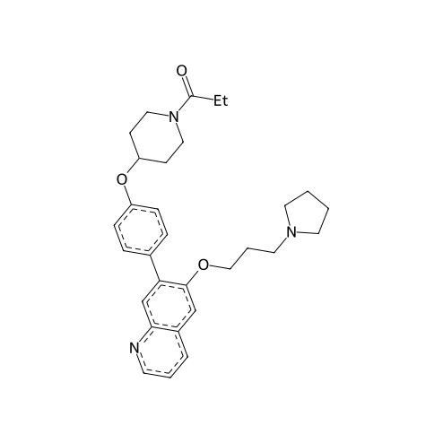 CCC(=O)N1CCC(Oc2ccc(-c3cc4ncccc4cc3OCCCN3CCCC3)cc2)CC1